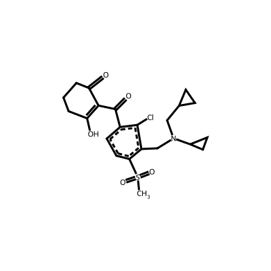 CS(=O)(=O)c1ccc(C(=O)C2=C(O)CCCC2=O)c(Cl)c1CN(CC1CC1)C1CC1